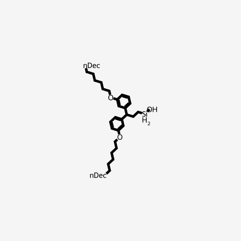 CCCCCCCCCCCCCCCCOc1cccc(C(CC[SiH2]O)c2cccc(OCCCCCCCCCCCCCCCC)c2)c1